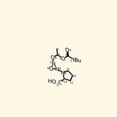 CC(OC(=O)C(C)(C)C)On1on1N1CCC[C@H]1C(=O)O